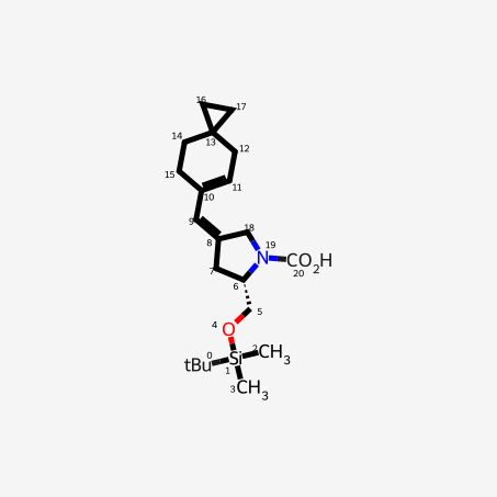 CC(C)(C)[Si](C)(C)OC[C@@H]1C/C(=C/C2=CCC3(CC2)CC3)CN1C(=O)O